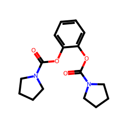 O=C(Oc1ccccc1OC(=O)N1CCCC1)N1CCCC1